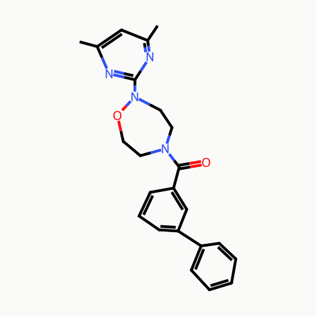 Cc1cc(C)nc(N2CCN(C(=O)c3cccc(-c4ccccc4)c3)CCO2)n1